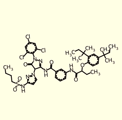 CCCCS(=O)(=O)Nc1ccn(C2C(=O)N(c3c(Cl)cc(Cl)cc3Cl)N=C2NC(=O)c2cccc(NC(=O)C(CC)Oc3ccc(C(C)(C)CC)cc3C(C)(C)CC)c2)n1